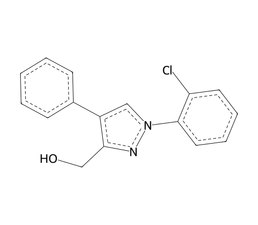 OCc1nn(-c2ccccc2Cl)cc1-c1ccccc1